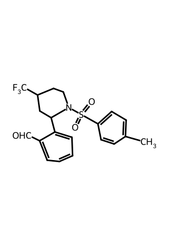 Cc1ccc(S(=O)(=O)N2CCC(C(F)(F)F)CC2c2ccccc2C=O)cc1